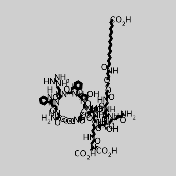 CCCC[C@H](NC(=O)[C@H](CCCCNC(=O)CN(CC(=O)O)CC(=O)O)NC(=O)[C@H](CO)NC(=O)[C@H](CCC(N)=O)NC(=O)[C@H](CO)NC(=O)CNC(=O)COCCOCCNC(=O)CCCCCCCCCCCCCCC(=O)O)C(=O)N[C@H]1CCC(=O)NCCCCC(C(N)=O)NC(=O)C(Cc2c[nH]c3ccccc23)NC(=O)C(CCCNC(=N)N)NC(=O)[C@@H](Cc2ccccc2)NC(=O)[C@@H]2C[C@@H](O)CN2C1=O